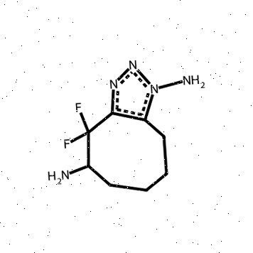 NC1CCCCc2c(nnn2N)C1(F)F